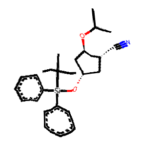 CC(C)O[C@@H]1C[C@@H](O[Si](c2ccccc2)(c2ccccc2)C(C)(C)C)C[C@H]1C#N